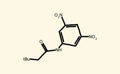 CC(C)(C)CC(=O)Nc1cc([N+](=O)[O-])cc([N+](=O)[O-])c1